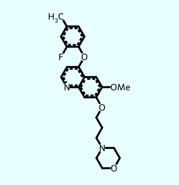 COc1cc2c(Oc3ccc(C)cc3F)ccnc2cc1OCCCN1CCOCC1